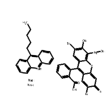 CCCCCc1c2ccccc2[siH]c2ccccc12.O=C(O)c1ccccc1-c1c2cc(Br)c(=O)cc-2oc2[c]([Hg][OH])c(O)c(Br)cc12.[NaH].[NaH]